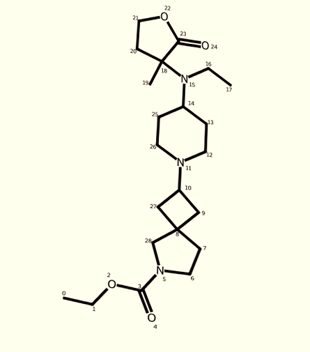 CCOC(=O)N1CCC2(CC(N3CCC(N(CC)C4(C)CCOC4=O)CC3)C2)C1